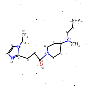 CC(=O)NCCN(C)C1CCN(C(=O)CCc2nccn2CC(F)(F)F)CC1